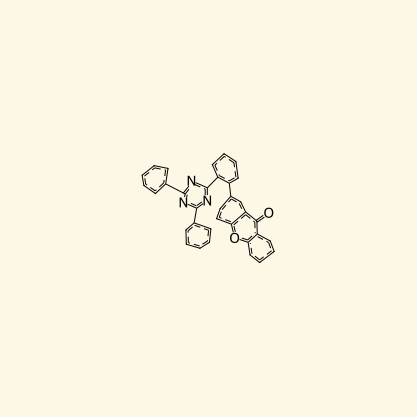 O=c1c2ccccc2oc2ccc(-c3ccccc3-c3nc(-c4ccccc4)nc(-c4ccccc4)n3)cc12